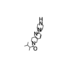 CC(C)C(C)C(=O)N1CCc2nc(N3C4CCC3CNC4)ccc2C1